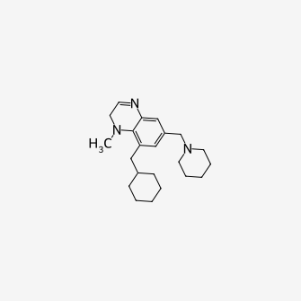 CN1CC=Nc2cc(CN3CCCCC3)cc(CC3CCCCC3)c21